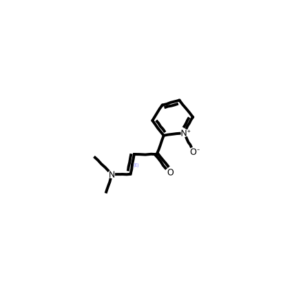 CN(C)/C=C/C(=O)c1cccc[n+]1[O-]